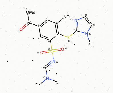 COC(=O)c1cc([N+](=O)[O-])c(Sc2nccn2C)c(S(=O)(=O)/N=C/N(C)C)c1